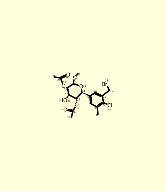 CS[C@H]1O[C@@H](c2cc(C)c(Cl)c(CBr)c2)[C@H](OC(C)=O)[C@@H](O)[C@@H]1OC(C)=O